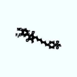 CC1=C(CCCCCCN2CCN(S(C)(=O)=O)CC2)C(=O)N(c2ccc(C#N)c(C(F)(F)F)c2)C1=O